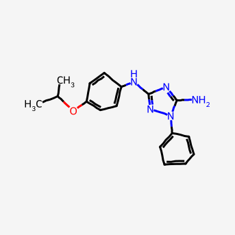 CC(C)Oc1ccc(Nc2nc(N)n(-c3ccccc3)n2)cc1